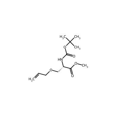 C=CCOC[C@H](NC(=O)OC(C)(C)C)C(=O)OC